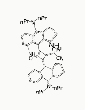 CCCN(CCC)c1c2cccc(N)c2c(C2=C([O-])C(=C3c4ccccc4C(=[N+](CCC)CCC)c4ccccc43)C2=C(C#N)C#N)c2c(N)cccc12